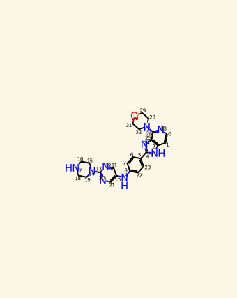 c1cc2[nH]c(-c3ccc(Nc4cnc(N5CCNCC5)nc4)cc3)nc2c(N2CCOCC2)n1